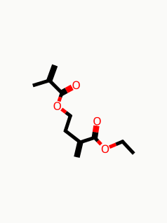 C=C(C)C(=O)OCCC(=C)C(=O)OCC